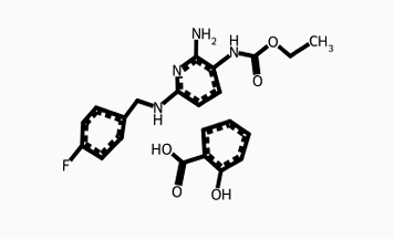 CCOC(=O)Nc1ccc(NCc2ccc(F)cc2)nc1N.O=C(O)c1ccccc1O